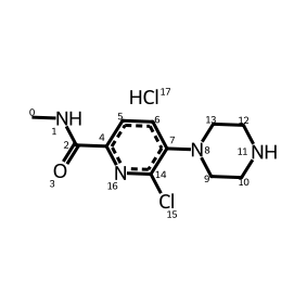 CNC(=O)c1ccc(N2CCNCC2)c(Cl)n1.Cl